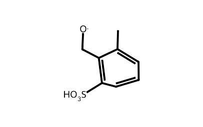 Cc1cccc(S(=O)(=O)O)c1C[O]